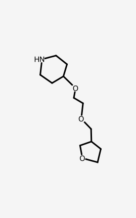 C1CC(OCCOCC2CCOC2)CCN1